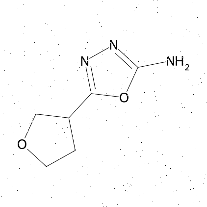 Nc1nnc(C2CCOC2)o1